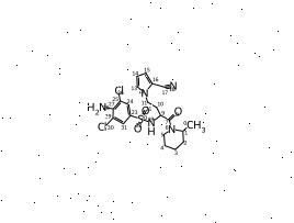 CC1CCCCN1C(=O)C(CCn1cccc1C#N)NS(=O)(=O)c1cc(Cl)c(N)c(Cl)c1